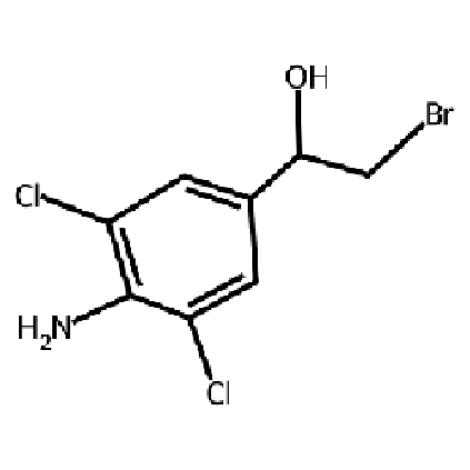 Nc1c(Cl)cc(C(O)CBr)cc1Cl